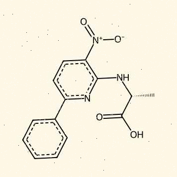 C[C@@H](Nc1nc(-c2ccccc2)ccc1[N+](=O)[O-])C(=O)O